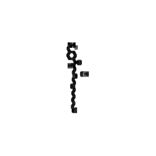 Cl.NCC1CCC(C(=O)NCCOCCOCCCCCCCl)CC1